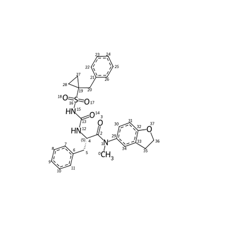 CN(C(=O)[C@H](Cc1ccccc1)NC(=O)NS(=O)(=O)C1(Cc2ccccc2)CC1)c1ccc2c(c1)CCO2